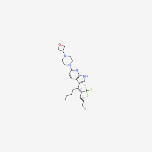 CC/C=C/C(=C(\CCCC)c1c[nH]c2nc(N3CCN(C4COC4)CC3)ccc12)C(F)(F)F